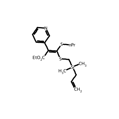 C=CC[Si](C)(C)CSC(SCCC)=C(C(=O)OCC)c1cccnc1